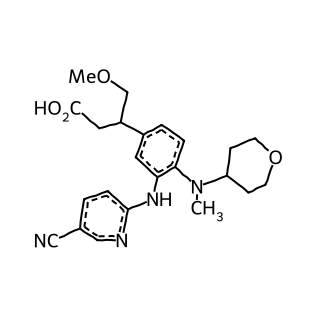 COCC(CC(=O)O)c1ccc(N(C)C2CCOCC2)c(Nc2ccc(C#N)cn2)c1